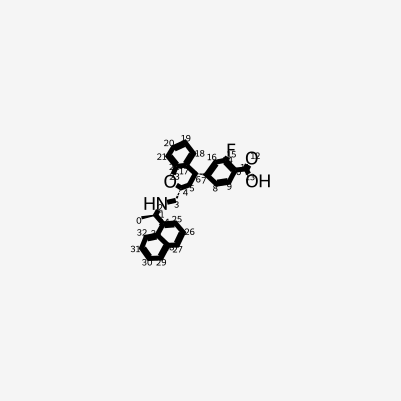 C[C@@H](NC[C@H]1C[C@@H](c2ccc(C(=O)O)c(F)c2)c2ccccc2O1)c1cccc2ccccc12